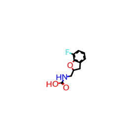 O=C(O)NCC1Cc2cccc(F)c2O1